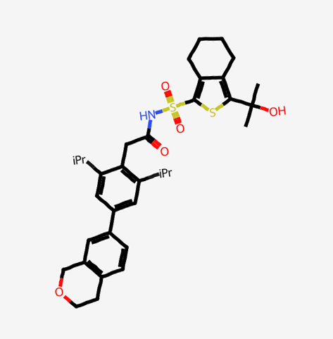 CC(C)c1cc(-c2ccc3c(c2)COCC3)cc(C(C)C)c1CC(=O)NS(=O)(=O)c1sc(C(C)(C)O)c2c1CCCC2